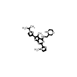 Cc1c(-c2ccn(C(C)C)n2)sc2nc(-c3nccn3C)nc(NCC3COCCN3)c12